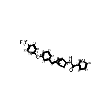 O=C(NC1CC2CC1CC2=Cc1cccc(Oc2ccc(C(F)(F)F)cn2)c1)c1cccnc1